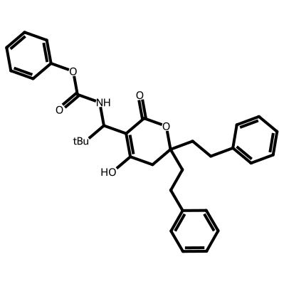 CC(C)(C)C(NC(=O)Oc1ccccc1)C1=C(O)CC(CCc2ccccc2)(CCc2ccccc2)OC1=O